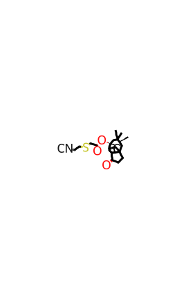 [C-]#[N+]CCSCC(=O)O[C@@H]1CC(C)(C)[C@@H](C)CC23CCCC1C2C(=O)CC3